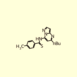 CCCCc1cc(NC(=S)c2ccc(C)cc2)n2nccc2n1